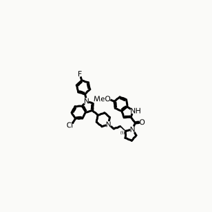 COc1ccc2[nH]c(C(=O)N3CCC[C@H]3CCN3CCC(c4cn(-c5ccc(F)cc5)c5ccc(Cl)cc45)CC3)cc2c1